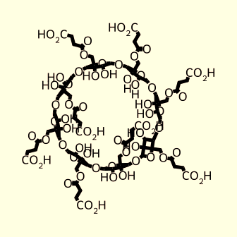 O=C(O)CCC(=O)OCC1OC2OC3C(COC(=O)CCC(=O)O)OC(OC4C(COC(=O)CCC(=O)O)OC(OC5C(COC(=O)CCC(=O)O)OC(OC6C(O)C7(O)C(OC8C(COC(=O)CCC(=O)O)OC(OC9C(COC(=O)CCC(=O)O)OC(OC%10C(COC(=O)CCC(=O)O)OC(OC1C(O)C2O)C(O)C%10O)C(O)C9O)C(O)C8O)OC67COC(=O)CCC(=O)O)C(O)C5O)C(O)C4O)C(O)C3O